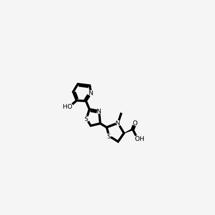 CN1C(C2CSC(c3ncccc3O)=N2)SC[C@@H]1C(=O)O